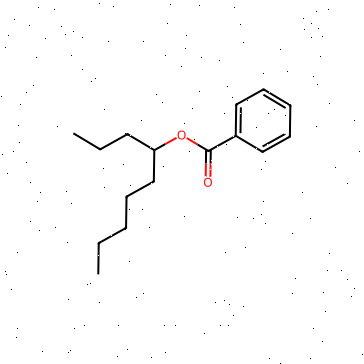 CCCCCC(CCC)OC(=O)c1ccccc1